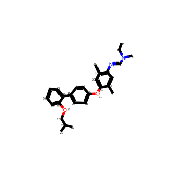 CCN(C)C=Nc1cc(C)c(Oc2ccc(-c3ccccc3OCC(C)C)cc2)cc1C